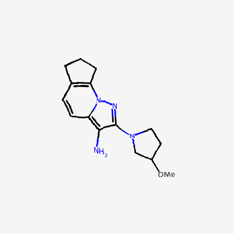 COC1CCN(c2nn3c4c(ccc3c2N)CCC4)C1